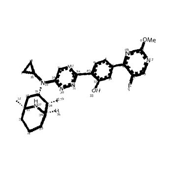 COc1ncc(F)c(-c2ccc(-c3ncc(N(C4CC4)[C@H]4C[C@]5(C)CCC[C@@H](N5)[C@H]4F)nn3)c(O)c2)n1